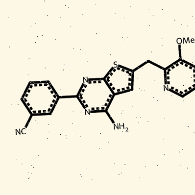 COc1cccnc1Cc1cc2c(N)nc(-c3cccc(C#N)c3)nc2s1